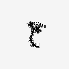 C#CCNC(=O)CCC(C)(C)SSCCCCOP(=O)(OCC1OC(C)C(C)C1OC)OC1C(COC)OC(C)C1C